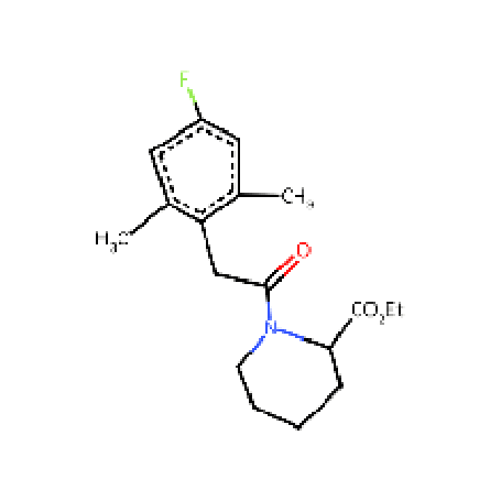 CCOC(=O)C1CCCCN1C(=O)Cc1c(C)cc(F)cc1C